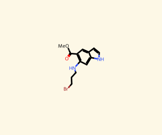 COC(=O)c1cc2cc[nH]c2cc1NCCCBr